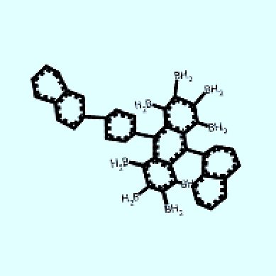 Bc1c(B)c(B)c2c(-c3cccc4ccccc34)c3c(B)c(B)c(B)c(B)c3c(-c3ccc(-c4ccc5ccccc5c4)cc3)c2c1B